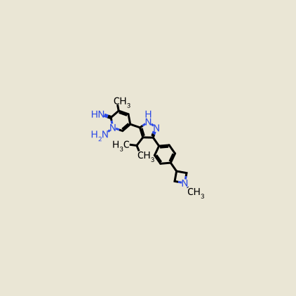 Cc1cc(-c2[nH]nc(-c3ccc(C4CN(C)C4)cc3)c2C(C)C)cn(N)c1=N